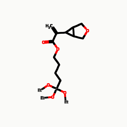 C=C(C(=O)OCCCC[Si](OCC)(OCC)OCC)C1C2COCC21